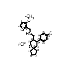 COc1ccsc1CNCC1COC2(CCCC2)CC1c1ccc(F)cc1.Cl